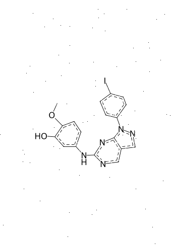 COc1ccc(Nc2ncc3cnn(-c4ccc(I)cc4)c3n2)cc1O